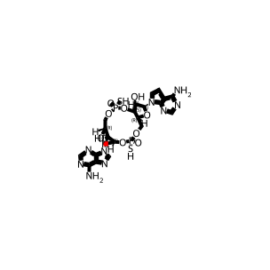 Nc1ncnc2c1ccn2[C@@H]1O[C@@H]2COP(=O)(S)O[C@@H]3[C@H](O)[C@@H](COP(=O)(S)O[C@H]2[C@H]1O)O[C@H]3n1cnc2c(N)ncnc21